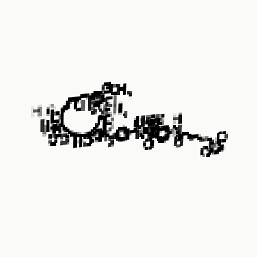 COc1cc2cc(c1Cl)N(C)C(=O)C[C@H](OC(=O)Cc1ccc(/C(C)=N/NC(=O)c3ccc(NC(=O)CCCCCN4C(=O)C=CC4=O)cc3S(=O)(=O)O)cc1)[C@]1(C)O[C@H]1CC1C[C@@](O)(NC(=O)O1)[C@H](OC)/C=C/C=C(\C)C2